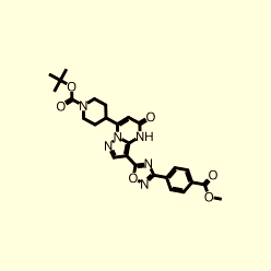 COC(=O)c1ccc(-c2noc(-c3cnn4c(C5CCN(C(=O)OC(C)(C)C)CC5)cc(=O)[nH]c34)n2)cc1